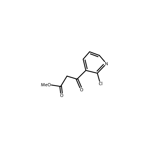 COC(=O)CC(=O)c1cccnc1Cl